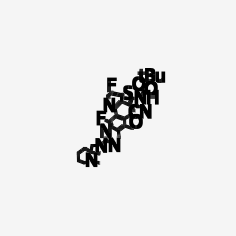 CN1CCCCC12CN(c1ncc3c4c(c(-c5ncc(F)c6sc(NC(=O)OC(C)(C)C)c(C#N)c56)c(F)c3n1)COC4)C2